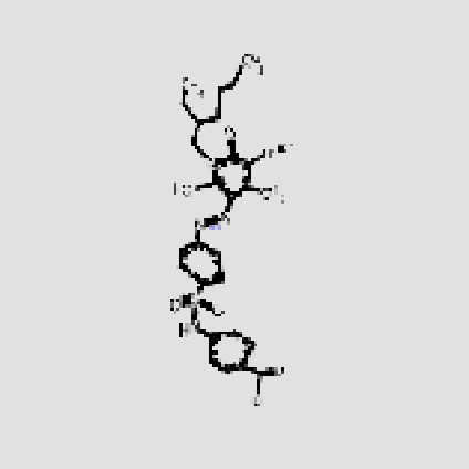 [C-]#[N+]c1c(C)c(/N=N/c2ccc(S(=O)(=O)Nc3ccc(C(=O)O)cc3)cc2)c(O)n(CC(CC)CCCC)c1=O